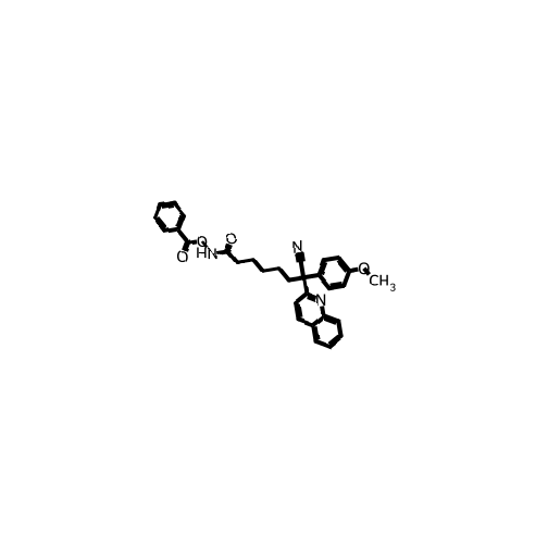 COc1ccc(C(C#N)(CCCCCC(=O)NOC(=O)c2ccccc2)c2ccc3ccccc3n2)cc1